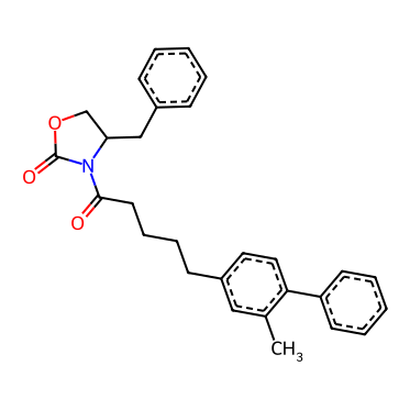 Cc1cc(CCCCC(=O)N2C(=O)OCC2Cc2ccccc2)ccc1-c1ccccc1